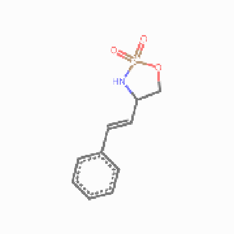 O=S1(=O)NC(/C=C/c2ccccc2)CO1